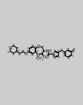 CN1C(=O)[C@@H](NC(=O)n2cc(Cc3cccc(F)c3)cn2)COc2ccc(OCCC3CCOCC3)cc21